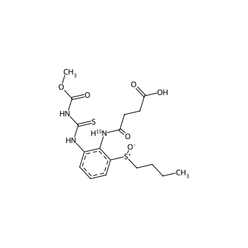 CCCC[S+]([O-])c1cccc(NC(=S)NC(=O)OC)c1[15NH]C(=O)CCC(=O)O